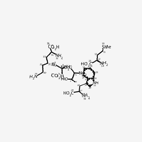 CC(O)C(N)C(=O)O.CCC(C)C(N)C(=O)O.CSCCC(N)C(=O)O.NC(Cc1c[nH]c2ccccc12)C(=O)O.NCCCCC(N)C(=O)O